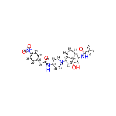 CC(C)(C)C(=O)NCCC(O)(CCN1CCC(NC(=O)Cc2ccc([N+](=O)[O-])cc2)CC1)c1ccccc1